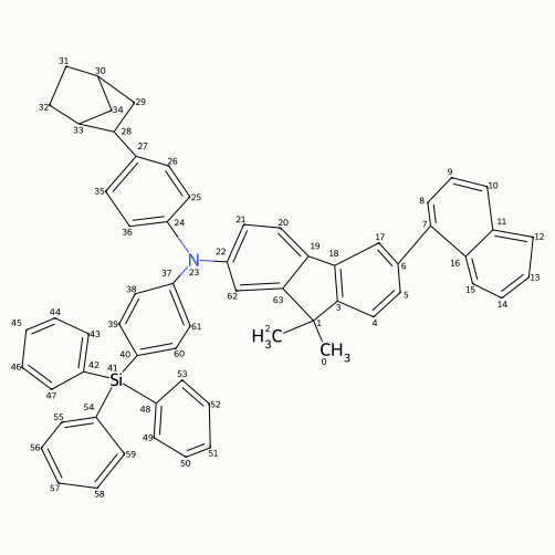 CC1(C)c2ccc(-c3cccc4ccccc34)cc2-c2ccc(N(c3ccc(C4CC5CCC4C5)cc3)c3ccc([Si](c4ccccc4)(c4ccccc4)c4ccccc4)cc3)cc21